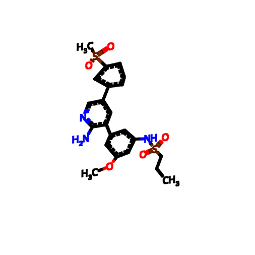 CCCS(=O)(=O)Nc1cc(OC)cc(-c2cc(-c3cccc(S(C)(=O)=O)c3)cnc2N)c1